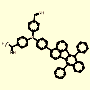 CC(=N)c1ccc(N(c2ccc(C=N)cc2)c2ccc(-c3ccc4c5c(cccc35)-c3c-4c(-c4ccccc4)c4ccccc4c3-c3ccccc3)cc2)cc1